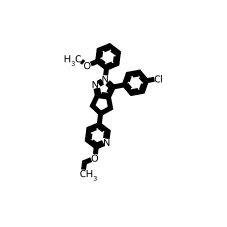 CCOc1ccc(C2Cc3nn(-c4ccccc4OC)c(-c4ccc(Cl)cc4)c3C2)cn1